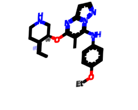 C/C=C1/CCNC[C@H]1Oc1nc2ccnn2c(Nc2ccc(OCC)cc2)c1C